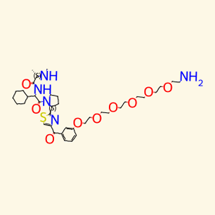 CN[C@@H](C)C(=O)NC(C(=O)N1CCC[C@H]1c1nc(C(=O)c2cccc(OCCOCCOCCOCCOCCOCCN)c2)cs1)C1CCCCC1